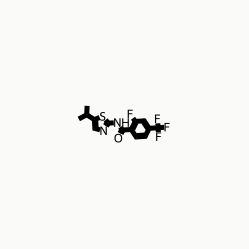 CC(C)c1cnc(NC(=O)c2ccc(C(F)(F)F)cc2F)s1